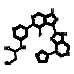 CC(C)(C)CC(O)Nc1cncc(-c2ncc3[nH]nc(-c4nc5c(-c6ccsc6)cncc5[nH]4)c3c2F)c1